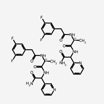 C[C@H](NC(=O)Cc1cc(F)cc(F)c1)C(=O)NC(C(N)=O)c1ccccn1.C[C@H](NC(=O)Cc1cc(F)cc(F)c1)C(=O)NC(C(N)=O)c1cccnc1